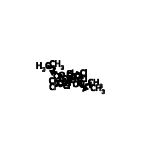 CCC(C)CC1(COC(=O)c2c(Cl)c(Cl)cc(Cl)c2OC(=O)C(=O)Oc2c(Cl)cc(Cl)c(Cl)c2C(=O)OCC2(CC(C)CC)CC2)CC1